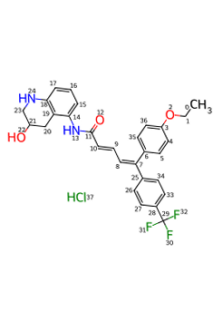 CCOc1ccc(C(=CC=CC(=O)Nc2cccc3c2CC(O)CN3)c2ccc(C(F)(F)F)cc2)cc1.Cl